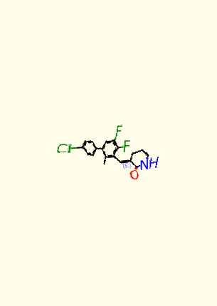 Cc1c(-c2ccc(Cl)cc2)cc(F)c(F)c1/C=C1\CCCNC1=O